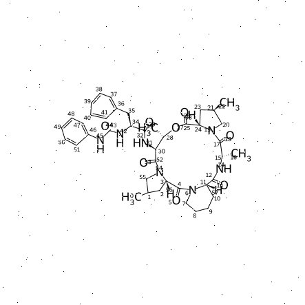 CC1C[C@H]2C(=O)N3CCCC[C@H]3C(=O)N[C@@H](C)C(=O)N3C[C@H](C)C[C@H]3C(=O)O[C@@H](C)[C@H](NC(=O)[C@H](Cc3ccccc3)NC(=O)Nc3ccccc3)C(=O)N2C1